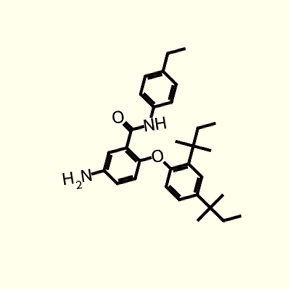 CCc1ccc(NC(=O)c2cc(N)ccc2Oc2ccc(C(C)(C)CC)cc2C(C)(C)CC)cc1